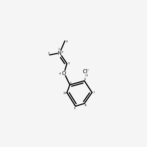 C[N+](C)=COc1ccccc1.[Cl-]